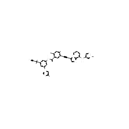 Cc1cn(-c2cc(NC(=O)c3cc(C#Cc4cnc5c(Nc6cnn(C)c6)cccn45)c(C)cc3Cl)cc(C(C)(C)C#N)c2)cn1